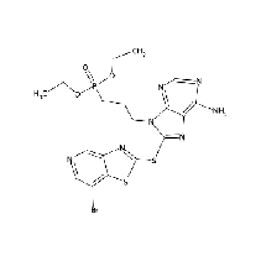 CCOP(=O)(CCCn1c(Sc2nc3cncc(Br)c3s2)nc2c(N)ncnc21)OCC